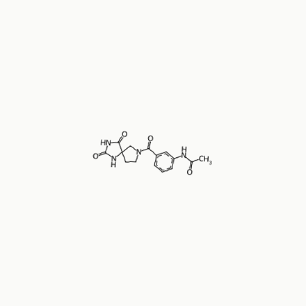 CC(=O)Nc1cccc(C(=O)N2CCC3(C2)NC(=O)NC3=O)c1